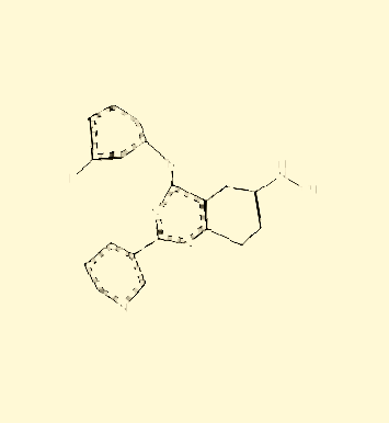 CNC1CCc2nc(-c3cccnc3)nc(Nc3cccc(F)c3)c2C1